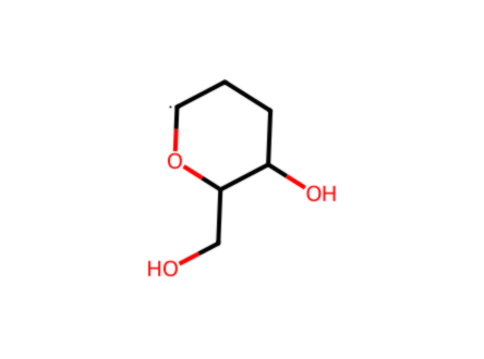 OCC1O[CH]CCC1O